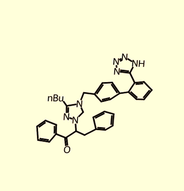 CCCCC1=NN(C(Cc2ccccc2)C(=O)c2ccccc2)CN1Cc1ccc(-c2ccccc2-c2nnn[nH]2)cc1